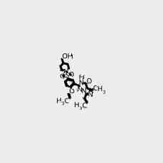 CCCOc1ccc(S(=O)(=O)N2CCC(CO)CC2)cc1-c1nn2c(CCC)nc(C)c2c(=O)[nH]1